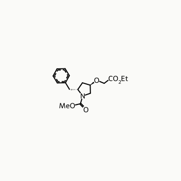 CCOC(=O)CO[C@@H]1C[C@@H](Cc2ccccc2)N(C(=O)OC)C1